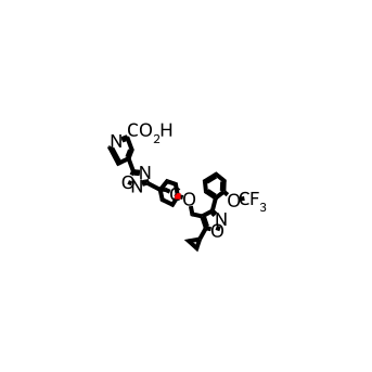 O=C(O)c1cc(-c2nc(C34CCC(OCc5c(-c6ccccc6OC(F)(F)F)noc5C5CC5)(CC3)CC4)no2)ccn1